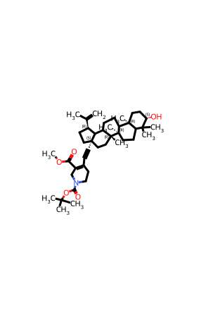 C=C(C)[C@@H]1CC[C@]2(C#CC3=C(C(=O)OC)CN(C(=O)OC(C)(C)C)CC3)CC[C@]3(C)C(CCC4[C@@]5(C)CC[C@H](O)C(C)(C)C5CC[C@]43C)C12